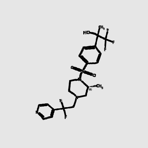 C[C@@H]1CN(CC(F)(F)c2ccncc2)CCN1S(=O)(=O)c1ccc(C(C)(O)C(F)(F)F)cc1